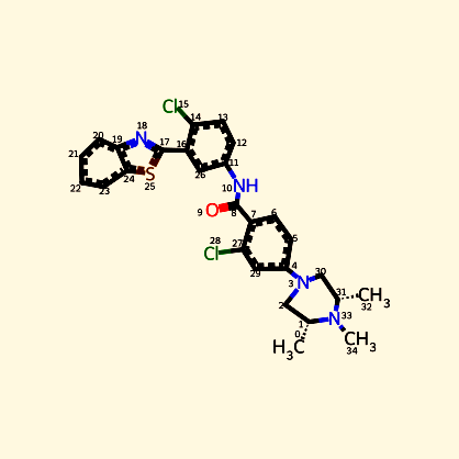 C[C@@H]1CN(c2ccc(C(=O)Nc3ccc(Cl)c(-c4nc5ccccc5s4)c3)c(Cl)c2)C[C@H](C)N1C